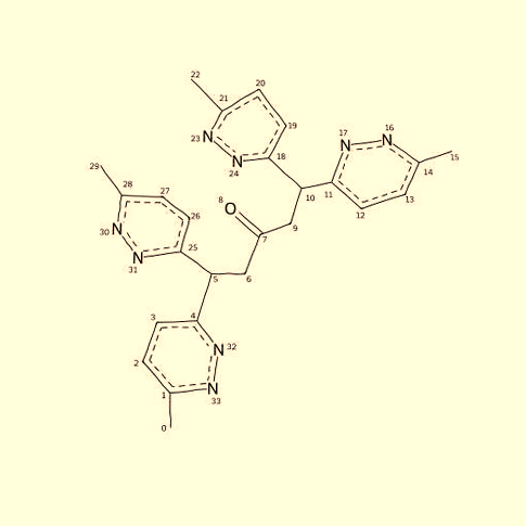 Cc1ccc(C(CC(=O)CC(c2ccc(C)nn2)c2ccc(C)nn2)c2ccc(C)nn2)nn1